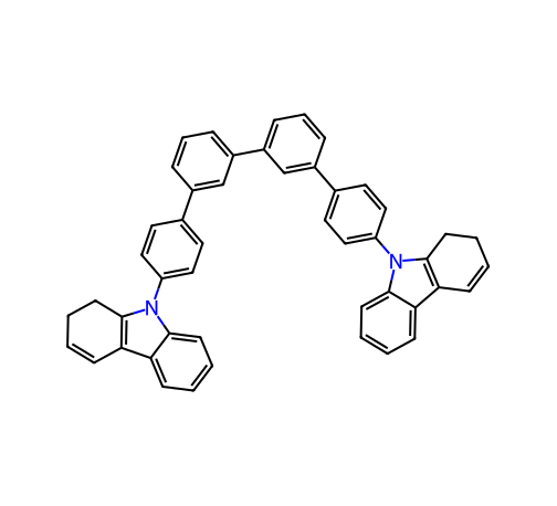 C1=Cc2c(n(-c3ccc(-c4cccc(-c5cccc(-c6ccc(-n7c8c(c9ccccc97)C=CCC8)cc6)c5)c4)cc3)c3ccccc23)CC1